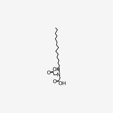 CCCCCCCCCCCCCCCCN(CC(=O)O)CC(=O)O